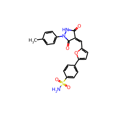 Cc1ccc(N2NC(=O)C(=Cc3ccc(-c4ccc(S(N)(=O)=O)cc4)o3)C2=O)cc1